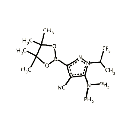 CC(n1nc(B2OC(C)(C)C(C)(C)O2)c(C#N)c1N(P)P)C(F)(F)F